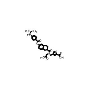 NC(N)Nc1ccc(C(=O)Oc2ccc3c(c2)CCC(C(=O)N(CC(=O)O)Cc2csc(C(=O)O)c2)C3)cc1